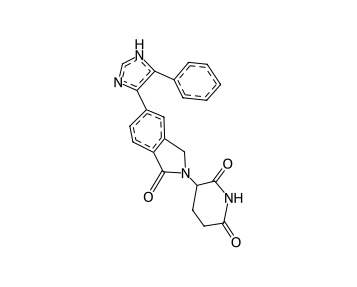 O=C1CCC(N2Cc3cc(-c4nc[nH]c4-c4ccccc4)ccc3C2=O)C(=O)N1